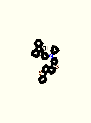 CC1(c2cccc(N(c3ccccc3)c3ccc4sc5ccc6c(ccc7sc8ccccc8c76)c5c4c3)c2)c2ccccc2-c2ccccc21